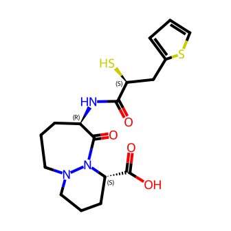 O=C(N[C@@H]1CCCN2CCC[C@@H](C(=O)O)N2C1=O)[C@@H](S)Cc1cccs1